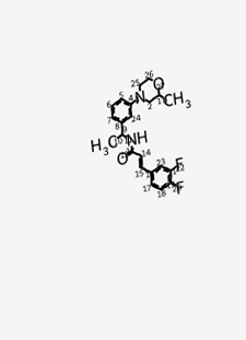 CC1CN(c2cccc(C(C)NC(=O)C=Cc3ccc(F)c(F)c3)c2)CCO1